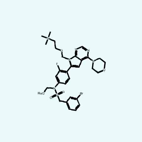 COCN(c1ccc(-c2cc3c(N4CCOCC4)ncnc3n2COCC[Si](C)(C)C)c(F)c1)S(=O)(=O)Cc1cccc(Br)c1